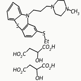 CCSc1ccc2c(c1)N(CCCN1CCN(C)CC1)c1ccccc1S2.O=C(O)CC(O)C(=O)O.O=C(O)CC(O)C(=O)O